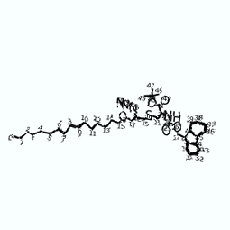 CCCCCCCCCCCCCCCCOCC(CSCC(NC(=O)OCC1c2ccccc2-c2ccccc21)C(=O)OC(C)(C)C)N=[N+]=[N-]